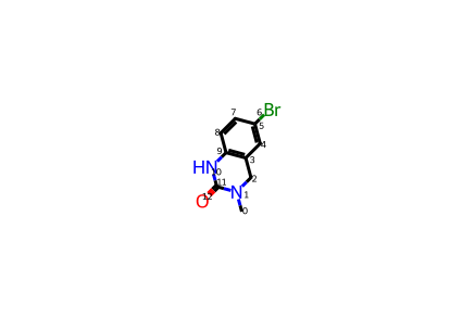 CN1Cc2cc(Br)ccc2NC1=O